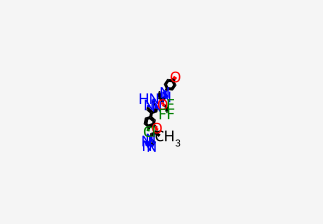 CC(Cn1cnnn1)Oc1cc(-c2cnc(Nc3cn(C4CCC(=O)CC4)nc3OC(F)C(F)F)nc2)ccc1Cl